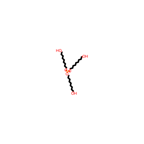 OCCCCCCCCCOP(OCCCCCCCCCO)OCCCCCCCCCO